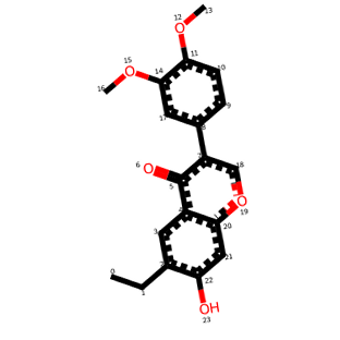 CCc1cc2c(=O)c(-c3ccc(OC)c(OC)c3)coc2cc1O